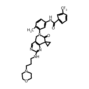 Cc1ccc(NC(=O)c2cccc(C(F)(F)F)c2)cc1N1Cc2cnc(NCCCN3CCOCC3)nc2C2(CC2)C1=O